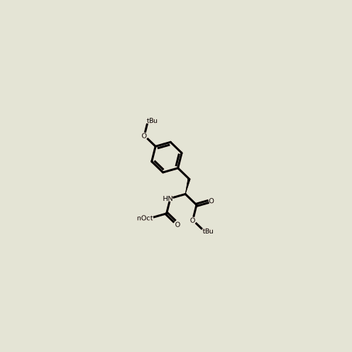 CCCCCCCCC(=O)N[C@@H](Cc1ccc(OC(C)(C)C)cc1)C(=O)OC(C)(C)C